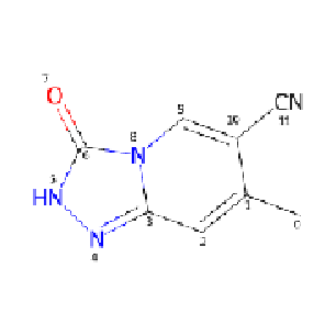 Cc1cc2n[nH]c(=O)n2cc1C#N